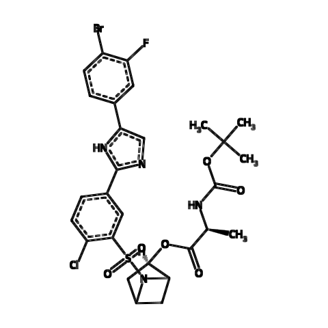 C[C@H](NC(=O)OC(C)(C)C)C(=O)O[C@@H]1CC2CC1N2S(=O)(=O)c1cc(-c2ncc(-c3ccc(Br)c(F)c3)[nH]2)ccc1Cl